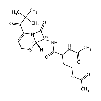 CC(=O)NC(CCOC(C)=O)C(=O)N[C@H]1C(=O)N2C(C(=O)C(C)(C)C)=CCS[C@@H]12